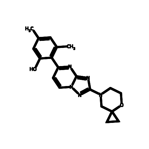 Cc1cc(C)c(-c2ccn3nc(N4CCOC5(CC5)C4)nc3n2)c(O)c1